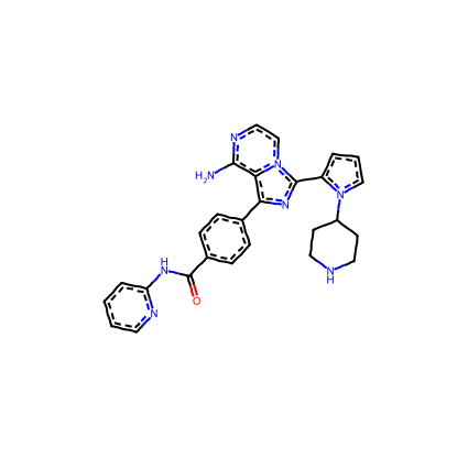 Nc1nccn2c(-c3cccn3C3CCNCC3)nc(-c3ccc(C(=O)Nc4ccccn4)cc3)c12